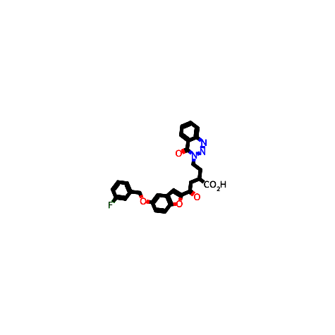 O=C(CC(CCn1nnc2ccccc2c1=O)C(=O)O)c1cc2cc(OCc3cccc(F)c3)ccc2o1